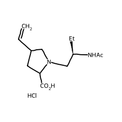 C=CC1CC(C(=O)O)N(C[C@@H](CC)NC(C)=O)C1.Cl